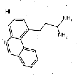 I.NC(N)CCc1cccc2ncc3ccccc3c12